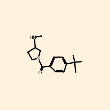 CNC1CCN(C(=O)c2ccc(C(C)(C)C)cc2)C1